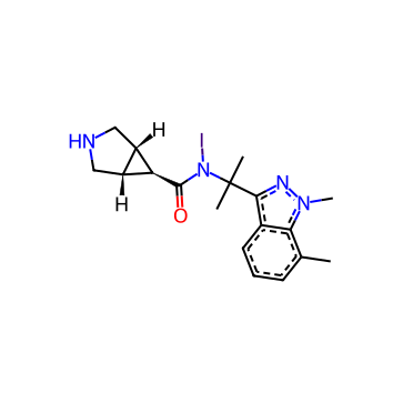 Cc1cccc2c(C(C)(C)N(I)C(=O)[C@H]3[C@@H]4CNC[C@@H]43)nn(C)c12